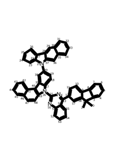 CC1(C)c2ccccc2-c2ccc(-c3nc(-n4c5ccc(-n6c7ccccc7c7cc8ccccc8cc76)cc5c5c6ccccc6ccc54)nc4ccccc34)cc21